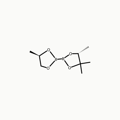 C[C@@H]1COB(B2O[C@H](C)C(C)(C)O2)O1